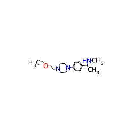 CCOCCN1CCN(c2ccc(C(C)NC)cc2)CC1